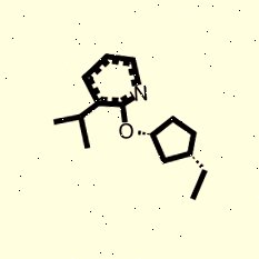 CC[C@H]1CC[C@@H](Oc2ncccc2C(C)C)C1